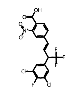 O=C(O)c1ccc(C=CC(c2cc(Cl)c(F)c(Cl)c2)C(F)(F)F)cc1[N+](=O)[O-]